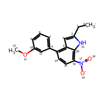 [CH2]Cc1cc2c(-c3cccc(OC)c3)ccc([N+](=O)[O-])c2[nH]1